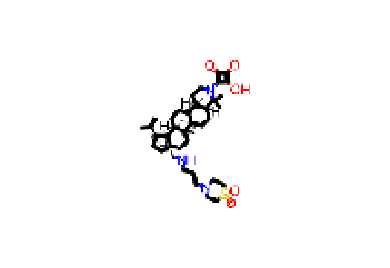 C=C(C)[C@@H]1CC[C@]2(CNCCCN3CCS(=O)(=O)CC3)CC[C@]3(C)[C@H](CC[C@@H]4[C@@]5(C)CCN(c6c(O)c(=O)c6=O)C(C)(C)[C@@H]5CC[C@]43C)[C@@H]12